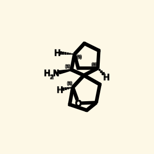 N[C@H]1[C@H]2CC[C@H](C2)C12CC1CC[C@@H]2O1